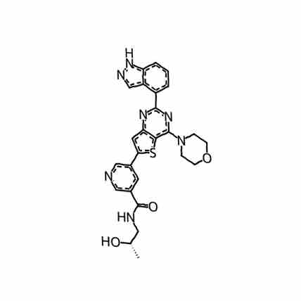 C[C@H](O)CNC(=O)c1cncc(-c2cc3nc(-c4cccc5[nH]ncc45)nc(N4CCOCC4)c3s2)c1